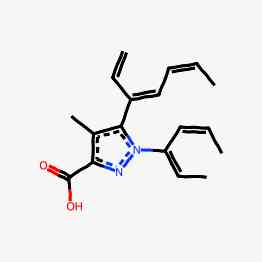 C=C/C(=C\C=C/C)c1c(C)c(C(=O)O)nn1C(/C=C\C)=C/C